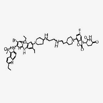 CCOc1cc(N2CCC(NCCNCCC3CCN(c4cc(F)cc5c4oc(=O)n5C4CCC(=O)NC4=O)CC3)CC2)c(CC)cc1Nc1ncc(Br)c(Nc2ccc3nc(CC)ccc3c2P(C)(C)=O)n1